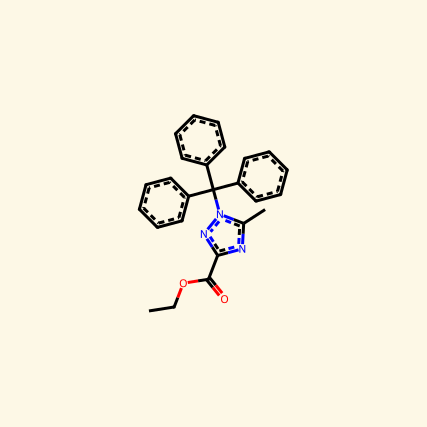 CCOC(=O)c1nc(C)n(C(c2ccccc2)(c2ccccc2)c2ccccc2)n1